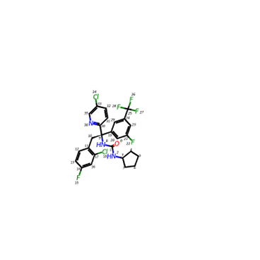 O=C(NC1CCCC1)N[C@@](Cc1ccc(F)cc1Cl)(c1cc(F)cc(C(F)(F)F)c1)c1ccc(Cl)cn1